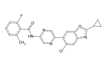 Cc1cccc(F)c1C(=O)Nc1cnc(-c2cc3oc(C4CC4)nc3cc2Cl)cn1